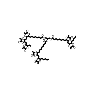 CCCCCC1OC(=O)C(C)OC1CC1OC(=O)C(C)OC1CCCCCCCC(=O)OCC(COC(=O)CCCCCCCC1OC(=O)C(C)OC1CC1OC(C)C(=O)OC1CC1OC(C)C(=O)OC1CC)OC(=O)CCCCCCCC1OC(C)C(=O)OC1CC1OC(=O)C(C)OC1CCCCC